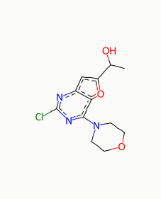 CC(O)c1cc2nc(Cl)nc(N3CCOCC3)c2o1